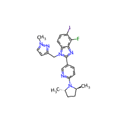 C[C@H]1CC[C@H](C)N1c1ccc(-c2nc3c(F)c(I)ccc3n2Cc2ccn(C)n2)cn1